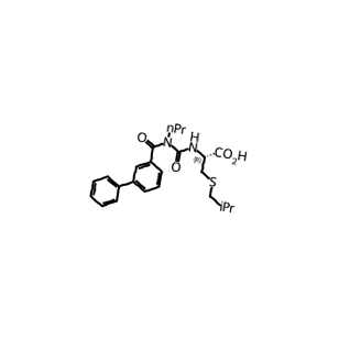 CCCN(C(=O)N[C@@H](CSCC(C)C)C(=O)O)C(=O)c1cccc(-c2ccccc2)c1